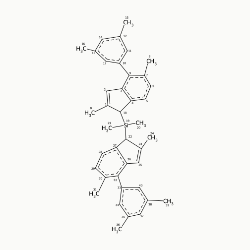 CC1=Cc2c(ccc(C)c2-c2cc(C)cc(C)c2)C1[Si](C)(C)C1C(C)=Cc2c1ccc(C)c2-c1cc(C)cc(C)c1